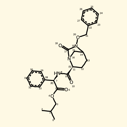 CC(C)COC(=O)[C@H](NC(=O)[C@@H]1CCC2CN1C(=O)N2OCc1ccccc1)c1ccccc1